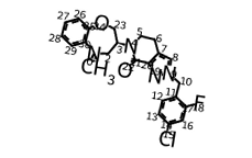 CN1C[C@H](N2CCc3cn(Cc4ccc(Cl)cc4F)nc3C2=O)COc2ccccc21